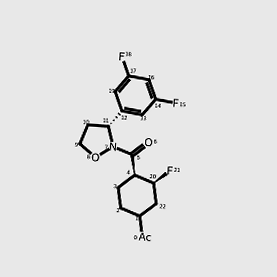 CC(=O)C1CC[C@@H](C(=O)N2OCC[C@@H]2c2cc(F)cc(F)c2)[C@@H](F)C1